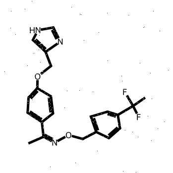 CC(=NOCc1ccc(C(C)(F)F)cc1)c1ccc(OCc2c[nH]cn2)cc1